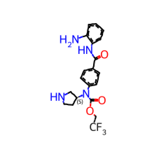 Nc1ccccc1NC(=O)c1ccc(N(C(=O)OCC(F)(F)F)[C@H]2CCNC2)cc1